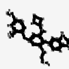 CCOc1cc(Cc2cnc(N)nc2N)cc(OC2CCC2)c1-c1ccc2c(c1)OCO2